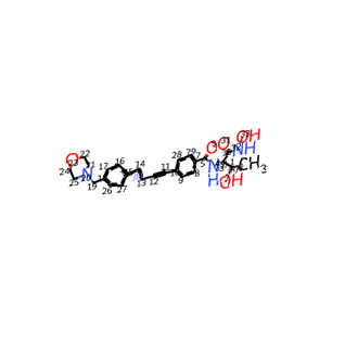 C[C@@H](O)[C@H](NC(=O)c1ccc(C#C/C=C/c2ccc(CN3CCOCC3)cc2)cc1)C(=O)NO